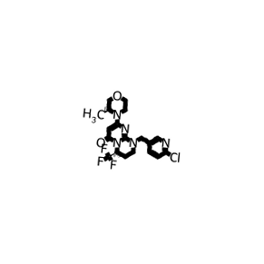 C[C@@H]1COCCN1c1cc(=O)n2c(n1)N(Cc1ccc(Cl)nc1)CC[C@@H]2C(F)(F)F